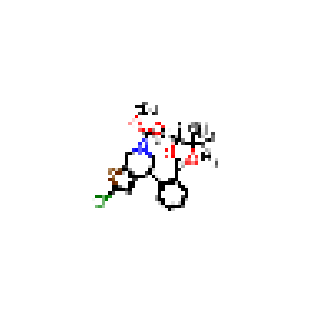 CC(C)(C)OC(=O)N1Cc2sc(Cl)cc2C(c2ccccc2B2OC(C)(C)C(C)(C)O2)C1